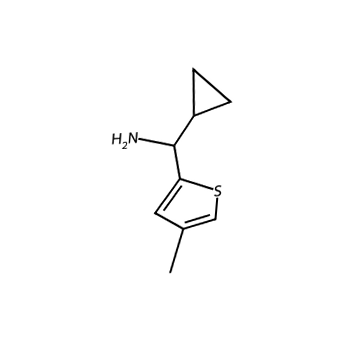 Cc1csc(C(N)C2CC2)c1